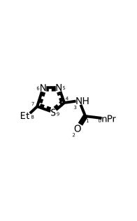 CCCC(=O)Nc1nnc(CC)s1